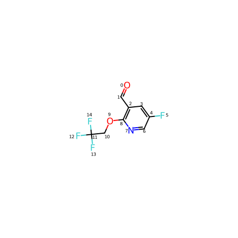 O=Cc1cc(F)cnc1OCC(F)(F)F